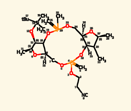 [C-]#[N+]CCOP1(=C)OC[C@H]2O[C@@H](C)[C@@H](O[Si](C)(C)C(C)(C)C)C2OP(=C)(C)OC[C@H]2O[C@@H](C)C(C)[C@H]2O1